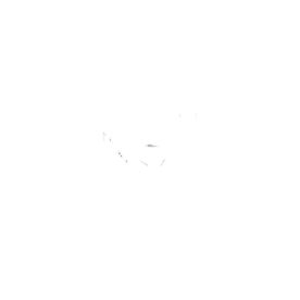 CCC1CCCC(C)C1c1ccc(N=C=N)cc1